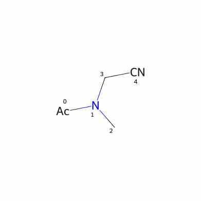 [CH2]C(=O)N(C)CC#N